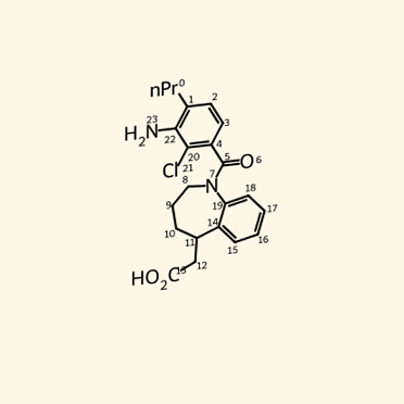 CCCc1ccc(C(=O)N2CCCC(CC(=O)O)c3ccccc32)c(Cl)c1N